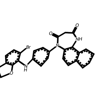 O=C1CC(=O)N(c2ccc(Nc3c(Br)ccc4c3OCO4)cc2)c2ccc3ccccc3c2N1